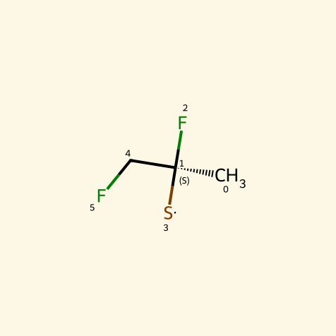 C[C@](F)([S])CF